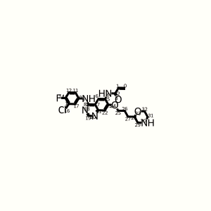 C=CC(=O)Nc1cc2c(Nc3ccc(F)c(Cl)c3)ncnc2cc1OCCCC1CNCCO1